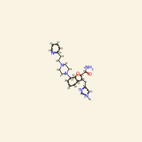 Cn1cnc(Cc2c(C(N)=O)oc3c(N4CCN(CCc5ccccn5)CC4)cccc23)c1